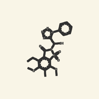 CCc1c(OC)c(C)c(OC)c2c1C(=O)N(C(S)c1nnnn1-c1ccccc1)S2(=O)=O